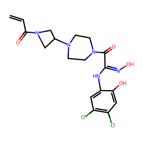 C=CC(=O)N1CC(N2CCN(C(=O)/C(=N\O)Nc3cc(Cl)c(Cl)cc3O)CC2)C1